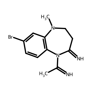 CC(=N)N1C(=N)CCN(C)c2cc(Br)ccc21